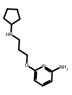 Nc1cccc(OCCCNC2CCCC2)n1